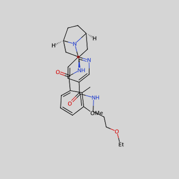 CCOCCCNC(=O)c1ccc(N2[C@@H]3CC[C@H]2C[C@@H](NC(=O)c2cccc(OC)c2C)C3)nc1